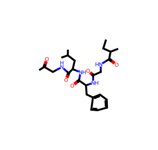 CCC(C)C(=O)NCC(=O)NC(Cc1ccccc1)C(=O)NC(CC(C)C)C(=O)NCC(C)=O